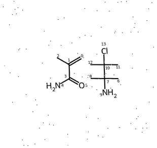 C=C(C)C(N)=O.CC(C)(N)C(C)(C)Cl